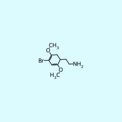 COC1=CC(Br)=C(OC)CC1CCN